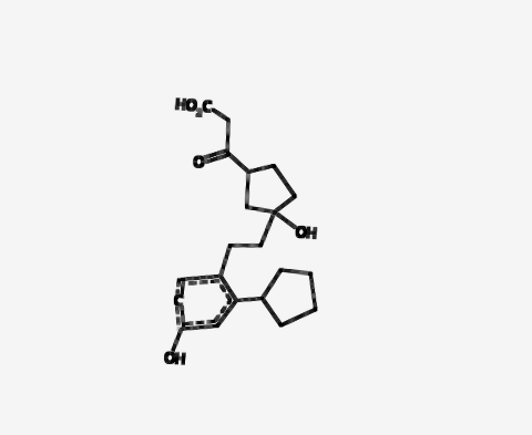 O=C(O)CC(=O)C1CCC(O)(CCc2ccc(O)cc2C2CCCC2)C1